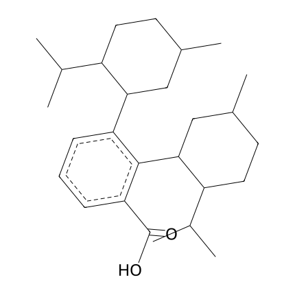 CC1CCC(C(C)C)C(c2cccc(C(=O)O)c2C2CC(C)CCC2C(C)C)C1